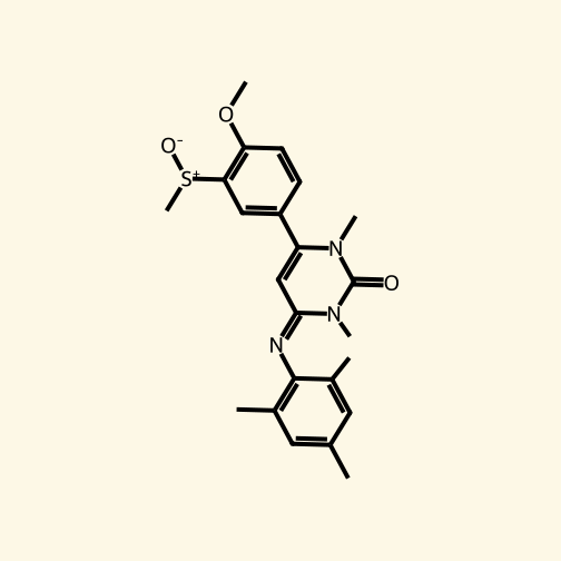 COc1ccc(-c2c/c(=N/c3c(C)cc(C)cc3C)n(C)c(=O)n2C)cc1[S+](C)[O-]